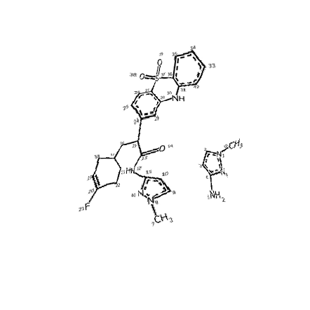 Cn1ccc(N)n1.Cn1ccc(NC(=O)C(CC2CC=C(F)CC2)c2ccc3c(c2)Nc2ccccc2S3(=O)=O)n1